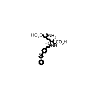 CC(N)C(CCCC(C)C(CC(=O)O)NC(O)CCC1C=CC(C2=CC([C@H]3C=CCCC3)CS2)CC1)CCC(=O)O